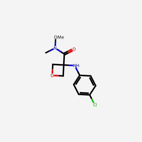 CON(C)C(=O)C1(Nc2ccc(Cl)cc2)COC1